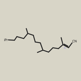 C/C(=C\C#N)CCCC(C)CCCC(C)CCCC(C)C